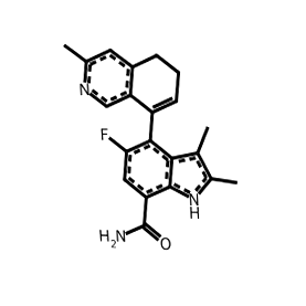 Cc1cc2c(cn1)C(c1c(F)cc(C(N)=O)c3[nH]c(C)c(C)c13)=CCC2